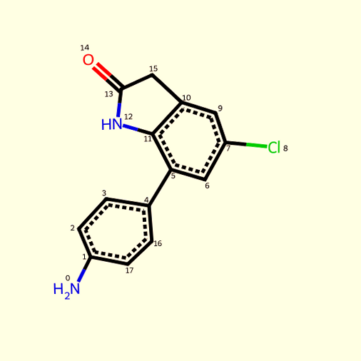 Nc1ccc(-c2cc(Cl)cc3c2NC(=O)C3)cc1